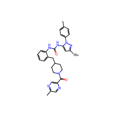 Cc1ccc(-n2nc(C(C)(C)C)cc2NC(=O)Nc2ccccc2CC2CCN(C(=O)c3cnc(C)cn3)CC2)cc1